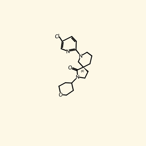 O=C1N(C2CCOCC2)CC[C@@]12CCCN(c1ccc(Cl)cn1)C2